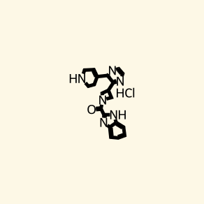 Cl.O=C(c1nc2ccccc2[nH]1)N1CC(c2nccnc2C2=CCNCC2)C1